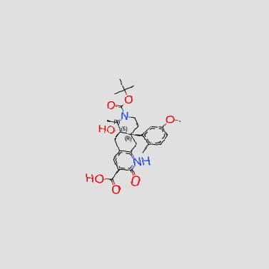 COc1ccc(C)c([C@]23CCN(C(=O)OC(C)(C)C)[C@H](C)[C@]2(O)Cc2cc(C(=O)O)c(=O)[nH]c2C3)c1